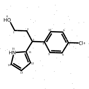 OCCC(c1ccc(Cl)cc1)c1ccc[nH]1